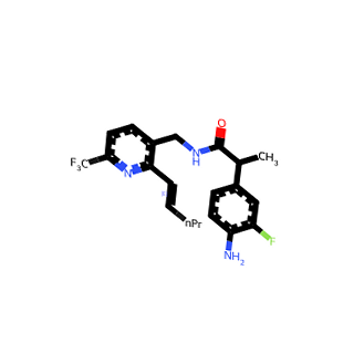 CCC/C=C/c1nc(C(F)(F)F)ccc1CNC(=O)C(C)c1ccc(N)c(F)c1